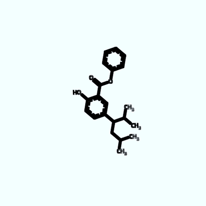 CC(C)CC(c1ccc(O)c(C(=O)Oc2ccccc2)c1)C(C)C